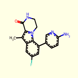 Cc1c2n(c3c(-c4ccc(N)nc4)cc(F)cc13)CCNC2=O